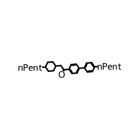 CCCCCc1ccc(-c2ccc(C(=O)CC3CCC(CCCCC)CC3)cc2)cc1